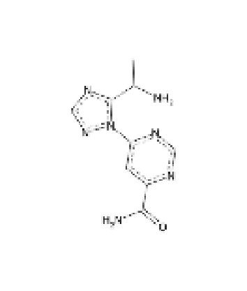 CC(N)c1ncnn1-c1cc(C(N)=O)ncn1